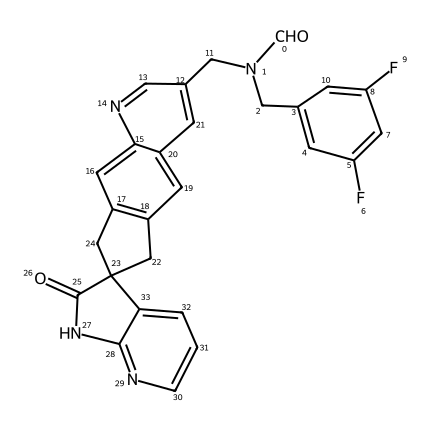 O=CN(Cc1cc(F)cc(F)c1)Cc1cnc2cc3c(cc2c1)CC1(C3)C(=O)Nc2ncccc21